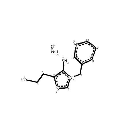 Cc1c(CCO)sc[n+]1Cc1cccnc1.Cl.[Cl-]